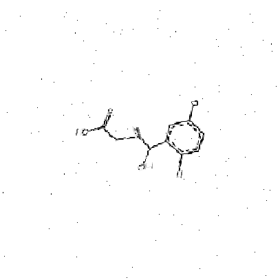 O=C(O)CNC(O)c1cc(Cl)ccc1Cl